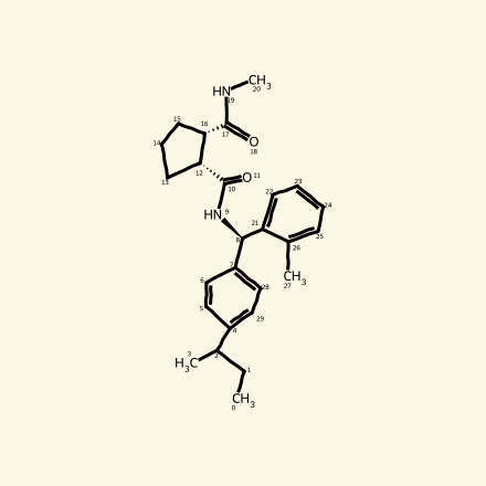 CCC(C)c1ccc([C@@H](NC(=O)[C@@H]2CCC[C@@H]2C(=O)NC)c2ccccc2C)cc1